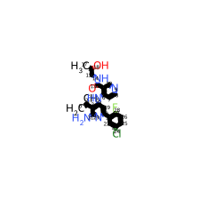 C=C(C)c1c(Nc2ccncc2C(=O)NCC(C)O)cc(-c2cc(Cl)ccc2F)nc1N